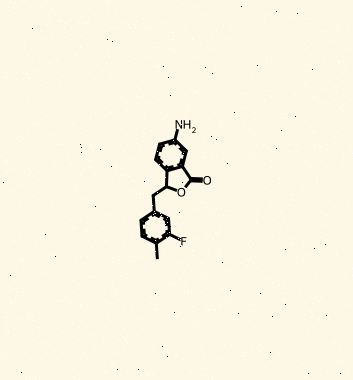 Cc1ccc(CC2OC(=O)c3cc(N)ccc32)cc1F